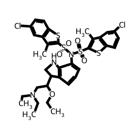 CCOC(CN(CC)CC)C1CNc2c1cccc2N(S(=O)(=O)c1sc2ccc(Cl)cc2c1C)S(=O)(=O)c1sc2ccc(Cl)cc2c1C